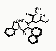 CC(C)(C)OC(=O)C(CC(O)CF)N(C=O)[C@H](C(=O)N1CCc2ccccc21)c1cccc2ccccc12